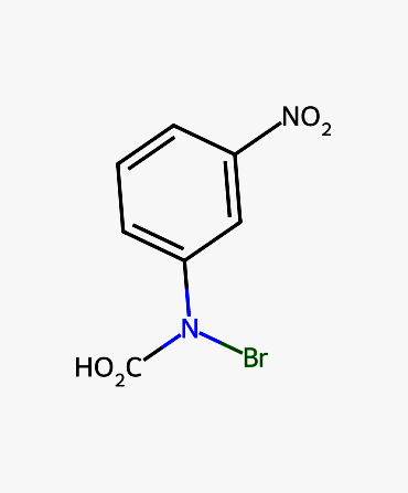 O=C(O)N(Br)c1cccc([N+](=O)[O-])c1